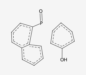 O=Pc1cccc2ccccc12.Oc1ccccc1